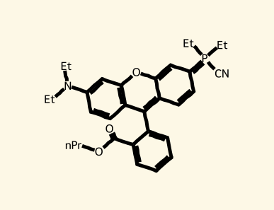 CCCOC(=O)c1ccccc1-c1c2ccc(=P(C#N)(CC)CC)cc-2oc2cc(N(CC)CC)ccc12